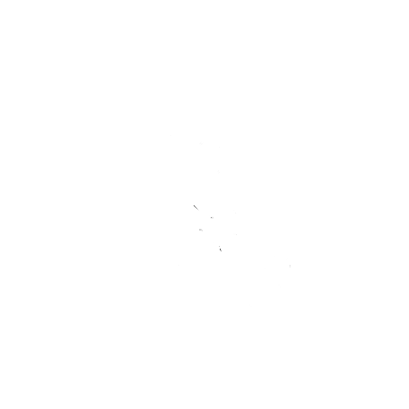 CCc1ccc(Cc2cc3c(cc2Cl)OCCCC32O[C@H](COCc3ccccc3)[C@@H](OCc3ccccc3)[C@H](OCc3ccccc3)[C@H]2OCc2ccccc2)cc1